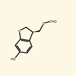 O=COC[C@@H]1COc2cc(O)ccc21